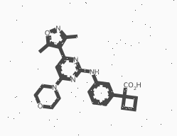 Cc1noc(C)c1-c1cc(N2CCOCC2)nc(Nc2cccc(C3(C(=O)O)CCC3)c2)n1